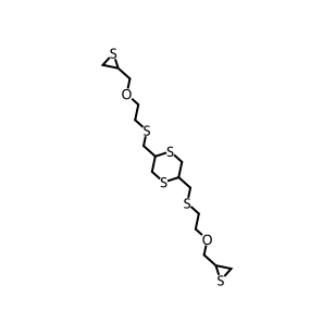 C(CSCC1CSC(CSCCOCC2CS2)CS1)OCC1CS1